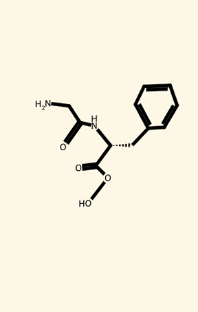 NCC(=O)N[C@H](Cc1ccccc1)C(=O)OO